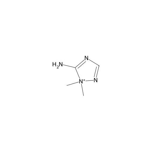 C[N+]1(C)N=CN=C1N